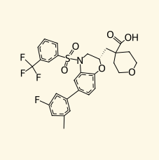 Cc1cc(F)cc(-c2ccc3c(c2)N(S(=O)(=O)c2cccc(C(F)(F)F)c2)C[C@H](CC2(C(=O)O)CCOCC2)O3)c1